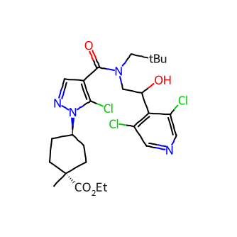 CCOC(=O)[C@]1(C)CC[C@@H](n2ncc(C(=O)N(CC(O)c3c(Cl)cncc3Cl)CC(C)(C)C)c2Cl)CC1